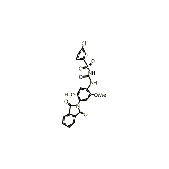 COc1cc(N2C(=O)c3ccccc3C2=O)c(C)cc1NC(=O)NS(=O)(=O)c1ccc(Cl)s1